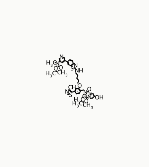 Cc1ncsc1-c1ccc(CNC(=O)[C@@H]2C[C@@H](O)CN2C(=O)OC(C)(C)C)c(OCCCCCNc2nc3ccc(-c4cncc(N(C)C(=O)OC(C)C)c4)cc3s2)c1